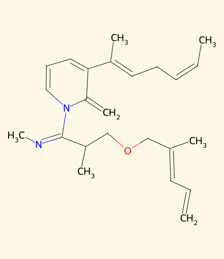 C=C/C=C(\C)COCC(C)/C(=N/C)N1C=CC=C(/C(C)=C/C/C=C\C)C1=C